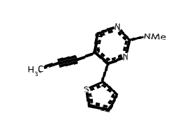 CC#Cc1cnc(NC)nc1-c1cccs1